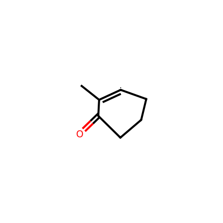 CC1=[C]CCCC1=O